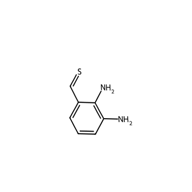 Nc1cccc(C=S)c1N